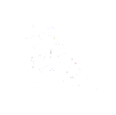 NS(=O)(=O)c1cccc(-c2c(-c3ccc(F)cc3)nc(C(F)(F)F)nc2N2CCC(c3ccc(F)cc3)C(CO)C2)c1